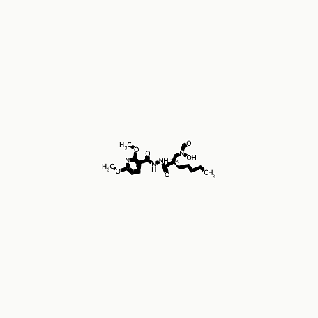 CCCCC[C@H](CN(O)C=O)C(=O)NNC(=O)c1ccc(OC)nc1OC